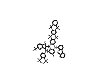 Cc1cc2c3c(c1)N(c1cccc4c1sc1ccccc14)c1cc4c(cc1B3c1sc3ccc(C(C)(C)C)cc3c1N2c1ccc2c(c1)C(C)(C)CCC2(C)C)C(C)(C)c1cc2c(cc1C4(C)C)C(C)(C)c1ccccc1C2(C)C